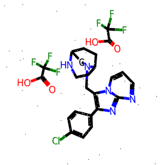 Clc1ccc(-c2nc3ncccn3c2CN2CC3CCC2CCN3)cc1.O=C(O)C(F)(F)F.O=C(O)C(F)(F)F